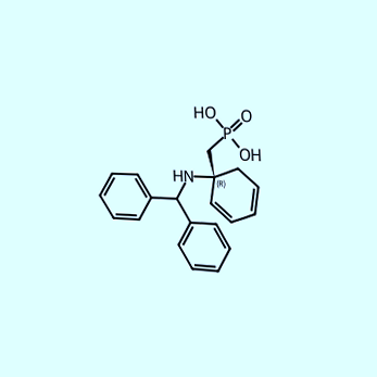 O=P(O)(O)C[C@]1(NC(c2ccccc2)c2ccccc2)C=CC=CC1